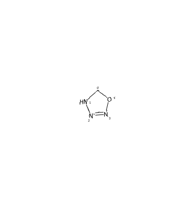 C1N[N+]=NO1